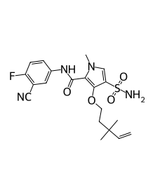 C=CC(C)(C)CCOc1c(S(N)(=O)=O)cn(C)c1C(=O)Nc1ccc(F)c(C#N)c1